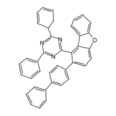 C1=CCC(c2nc(-c3ccccc3)nc(-c3c(-c4ccc(-c5ccccc5)cc4)ccc4oc5ccccc5c34)n2)C=C1